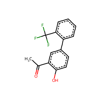 CC(=O)c1cc(-c2ccccc2C(F)(F)F)ccc1O